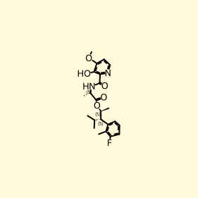 COc1ccnc(C(=O)N[C@@H](C)C(=O)O[C@@H](C)[C@H](c2cccc(F)c2C)C(C)C)c1O